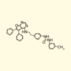 Cc1cccc(NC(=O)Nc2ccc(CCNc3ncnc4oc(-c5ccccc5)c(-c5ccccc5)c34)cc2)c1